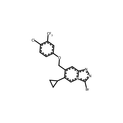 FC(F)(F)c1cc(OCc2cc3nnc(Br)n3cc2C2CC2)ccc1Cl